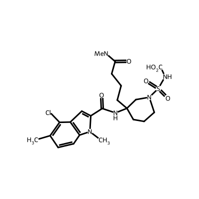 CNC(=O)CCCC1(NC(=O)c2cc3c(Cl)c(C)ccc3n2C)CCCN(S(=O)(=O)NC(=O)O)C1